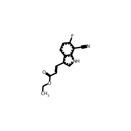 CCOC(=O)C=Cc1c[nH]c2c(C#N)c(F)ccc12